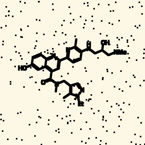 CCn1ncc(CN(C)C(=O)c2cc(-c3ccc(NCC(O)CNC)c(C)n3)nc3ccc(O)cc23)c1C